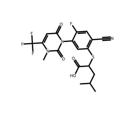 CC(C)CC(Sc1cc(-n2c(=O)cc(C(F)(F)F)n(C)c2=O)c(F)cc1C#N)C(=O)O